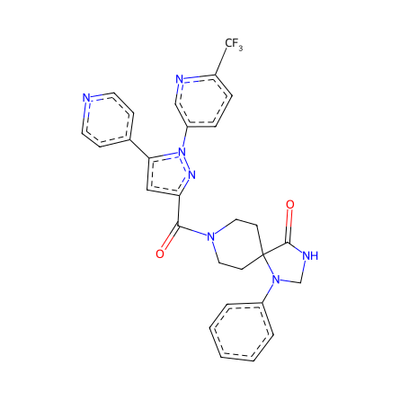 O=C(c1cc(-c2ccncc2)n(-c2ccc(C(F)(F)F)nc2)n1)N1CCC2(CC1)C(=O)NCN2c1ccccc1